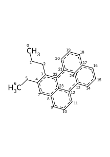 CCCc1c(CC)cc2cccc3c4cccc5cccc(c1c23)c54